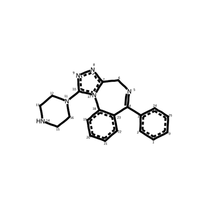 c1ccc(C2=NCc3nnc(N4CCNCC4)n3-c3ccccc32)cc1